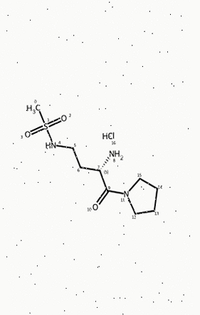 CS(=O)(=O)NCC[C@H](N)C(=O)N1CCCC1.Cl